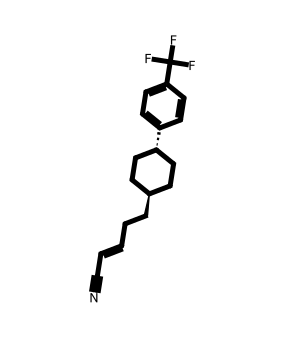 N#CC=CCC[C@H]1CC[C@H](c2ccc(C(F)(F)F)cc2)CC1